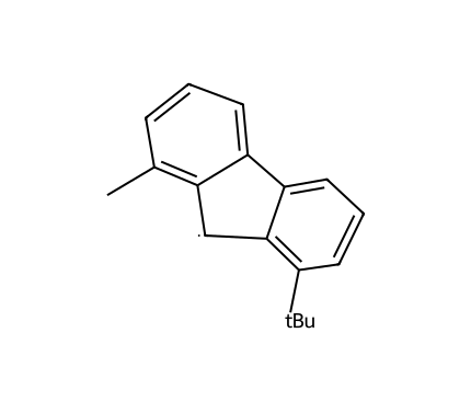 Cc1cccc2c1[CH]c1c-2cccc1C(C)(C)C